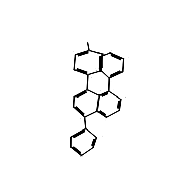 Clc1ccc(-c2ccc(-c3ccccc3)c3cccc(-c4ccccc4)c23)cc1